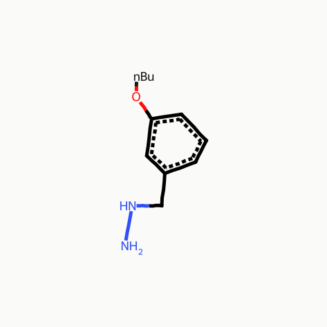 CCCCOc1cccc(CNN)c1